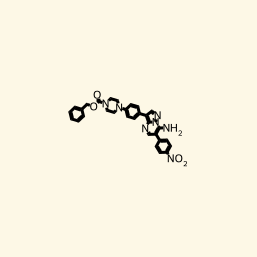 Nc1c(-c2ccc([N+](=O)[O-])cc2)cnc2c(-c3ccc(N4CCN(C(=O)OCc5ccccc5)CC4)cc3)cnn12